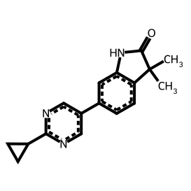 CC1(C)C(=O)Nc2cc(-c3cnc(C4CC4)nc3)ccc21